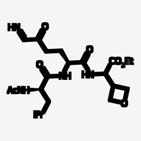 CCOC(=O)C(NC(=O)[C@H](CCC(=O)C=N)NC(=O)[C@H](CC(C)C)NC(C)=O)C1COC1